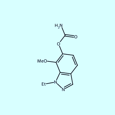 CCn1ncc2ccc(OC(N)=O)c(OC)c21